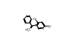 C=C(c1ccccc1)c1ccc(Cl)cc1Cl